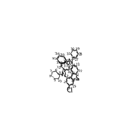 Clc1cc(N(C2=CCCCC2)c2ccccc2)c2c(c1)sc1ccc(N(c3ccccc3)c3ccccc3)cc12